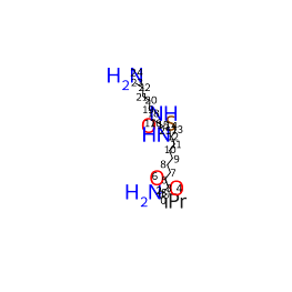 CC(C)[C@H](N)C(=O)C(=O)CCCCCC1CSC(C(=O)NCCCCCN)N1